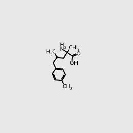 Cc1ccc(CC(C)CC(C)(N)C(=O)O)cc1